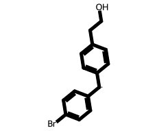 OCCc1ccc([CH]c2ccc(Br)cc2)cc1